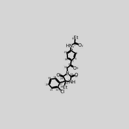 CCC(=O)Nc1ccc(C(=O)CN2C(=O)NC(CC)(c3ccccc3Cl)C2=O)cc1